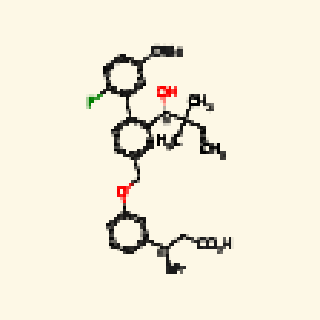 C=CC(C)(C)[C@@H](O)c1cc(COc2cccc([C@H](CCC)CC(=O)O)c2)ccc1-c1cc(OC)ccc1F